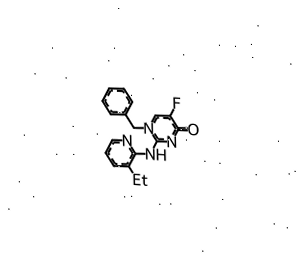 CCc1cccnc1Nc1nc(=O)c(F)cn1Cc1ccccc1